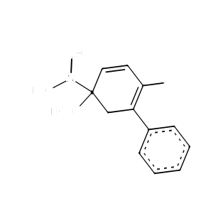 CC1=C(c2ccccc2)CC(C(=O)O)(N(C)C)C=C1